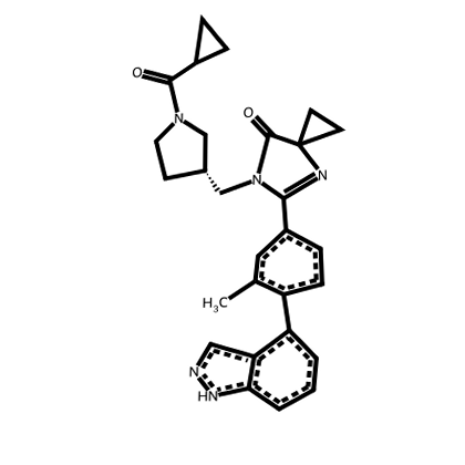 Cc1cc(C2=NC3(CC3)C(=O)N2C[C@@H]2CCN(C(=O)C3CC3)C2)ccc1-c1cccc2[nH]ncc12